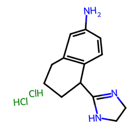 Cl.Cl.Nc1ccc2c(c1)CCCC2C1=NCCN1